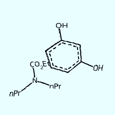 CCCN(CCC)C(=O)OCC.Oc1cccc(O)c1